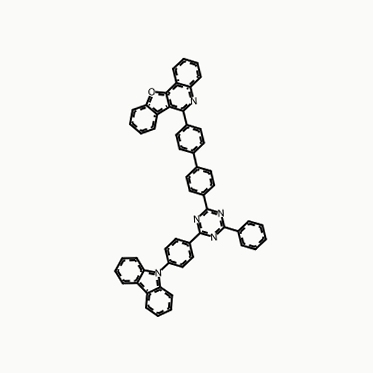 c1ccc(-c2nc(-c3ccc(-c4ccc(-c5nc6ccccc6c6oc7ccccc7c56)cc4)cc3)nc(-c3ccc(-n4c5ccccc5c5ccccc54)cc3)n2)cc1